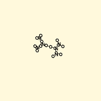 c1ccc(-c2cc(-c3cc(-c4ccc(-c5ccc(-n6c7ccc(-n8c9ccccc9c9ccccc98)cc7c7cc(-n8c9ccccc9c9ccccc98)ccc76)cc5)cc4)cc(-c4cc(-c5ccccc5)nc(-c5ccccc5)c4)n3)cc(-c3ccccc3)n2)cc1